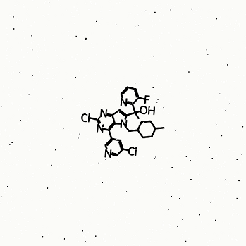 CC1CCC(Cn2c(C(C)(O)c3ncccc3F)cc3nc(Cl)nc(-c4cncc(Cl)c4)c32)CC1